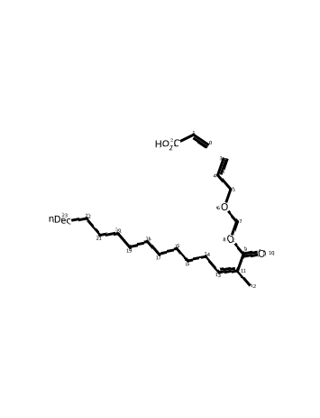 C=CC(=O)O.C=CCOCOC(=O)C(C)=CCCCCCCCCCCCCCCCCCCC